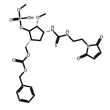 CO[C@H]1C(OP(=O)(O)OC)[C@@H](COC(=O)OCc2ccccc2)C[C@H]1NC(=S)NCCN1C(=O)C=CC1=O